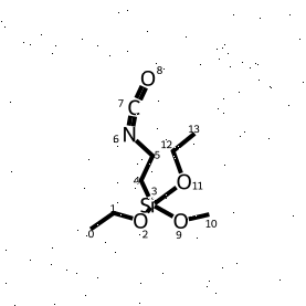 CCO[Si](CCN=C=O)(OC)OCC